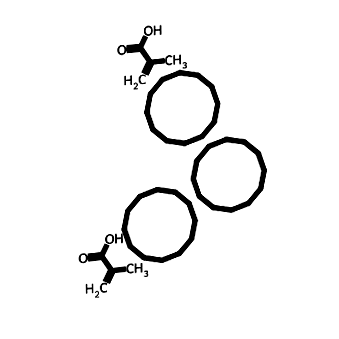 C1CCCCCCCCCCC1.C1CCCCCCCCCCC1.C1CCCCCCCCCCC1.C=C(C)C(=O)O.C=C(C)C(=O)O